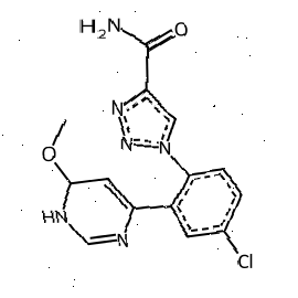 COC1C=C(c2cc(Cl)ccc2-n2cc(C(N)=O)nn2)N=CN1